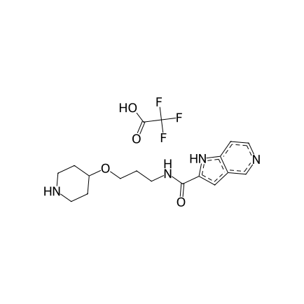 O=C(NCCCOC1CCNCC1)c1cc2cnccc2[nH]1.O=C(O)C(F)(F)F